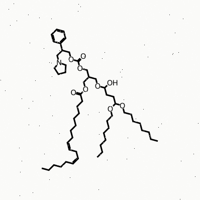 CCCCC/C=C\C/C=C\CCCCCCCC(=O)OCC(COC(=O)OCC(CN1CCCC1)c1ccccc1)COC(O)CCC(OCCCCCCCC)OCCCCCCCC